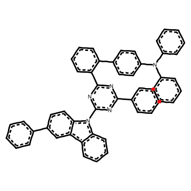 c1ccc(-c2ccc3c(c2)c2ccccc2n3-c2nc(-c3ccccc3)nc(-c3ccccc3-c3ccc(N(c4ccccc4)c4ccccc4)cc3)n2)cc1